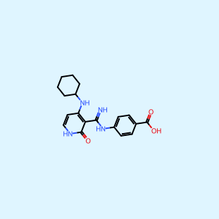 N=C(Nc1ccc(C(=O)O)cc1)c1c(NC2CCCCC2)cc[nH]c1=O